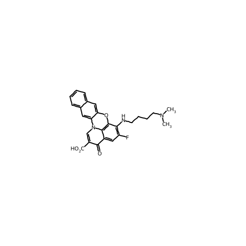 CN(C)CCCCNc1c(F)cc2c(=O)c(C(=O)O)cn3c2c1Oc1cc2ccccc2cc1-3